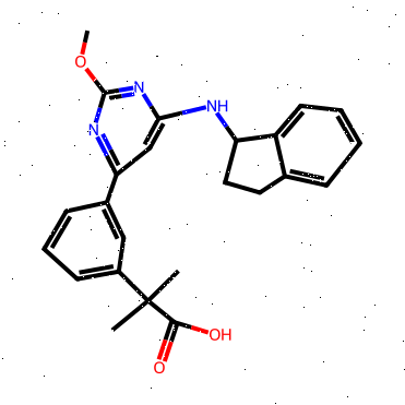 COc1nc(NC2CCc3ccccc32)cc(-c2cccc(C(C)(C)C(=O)O)c2)n1